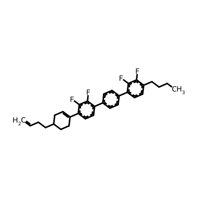 C=CCCC1CC=C(c2ccc(-c3ccc(-c4ccc(CCCC)c(F)c4F)cc3)c(F)c2F)CC1